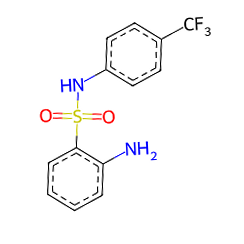 Nc1ccccc1S(=O)(=O)Nc1ccc(C(F)(F)F)cc1